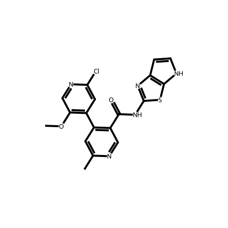 COc1cnc(Cl)cc1-c1cc(C)ncc1C(=O)Nc1nc2cc[nH]c2s1